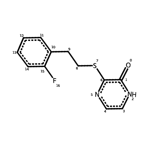 O=c1[nH]ccnc1SCCc1ccccc1F